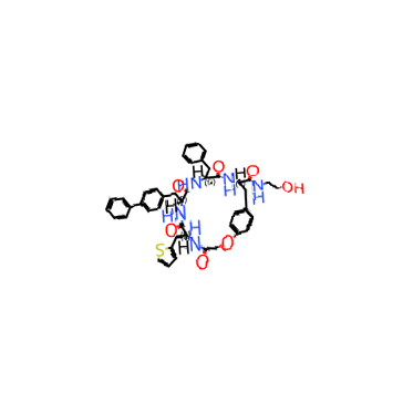 O=C1COc2ccc(cc2)C[C@@H](C(=O)NCCO)NC(=O)[C@H](Cc2ccccc2)NC(=O)[C@@H](Cc2ccc(-c3ccccc3)cc2)NC(=O)[C@H](Cc2cccs2)N1